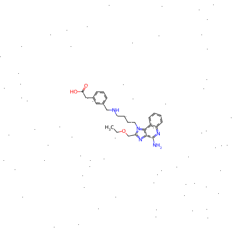 CCOCc1nc2c(N)nc3ccccc3c2n1CCCCNCc1cccc(CC(=O)O)c1